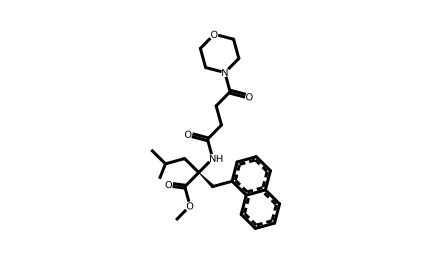 COC(=O)[C@](Cc1cccc2ccccc12)(CC(C)C)NC(=O)CCC(=O)N1CCOCC1